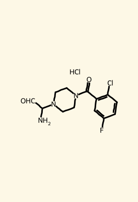 Cl.NC(C=O)N1CCN(C(=O)c2cc(F)ccc2Cl)CC1